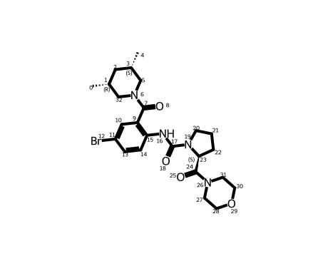 C[C@@H]1C[C@H](C)CN(C(=O)c2cc(Br)ccc2NC(=O)N2CCC[C@H]2C(=O)N2CCOCC2)C1